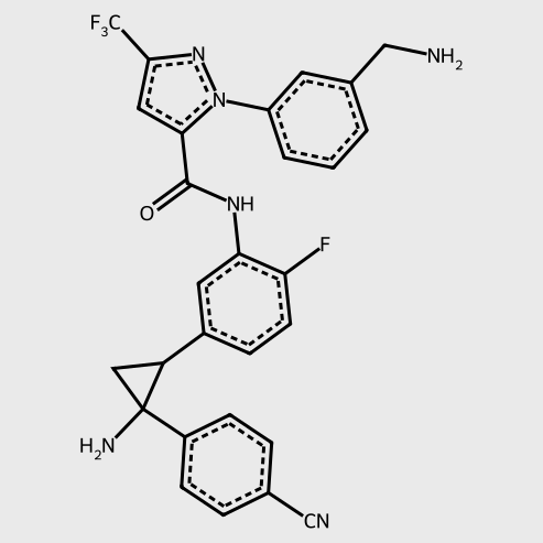 N#Cc1ccc(C2(N)CC2c2ccc(F)c(NC(=O)c3cc(C(F)(F)F)nn3-c3cccc(CN)c3)c2)cc1